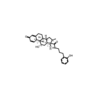 C[C@@H]1C[C@H]2[C@@H]3CCC4=CC(=O)C=C[C@]4(C)[C@@]3(F)[C@@H](O)C[C@]2(C)[C@@]1(O)C(=O)NCCCc1ccccc1O